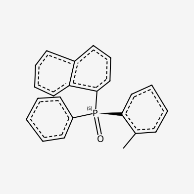 Cc1ccccc1[P@@](=O)(c1ccccc1)c1cccc2ccccc12